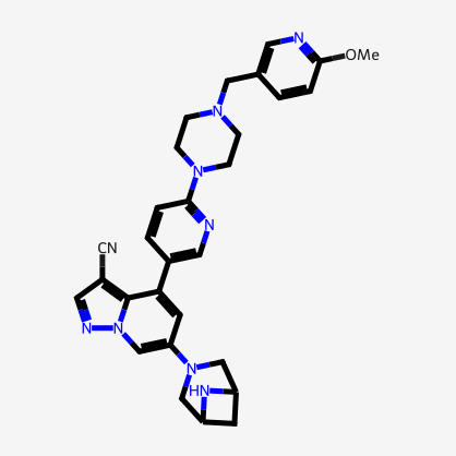 COc1ccc(CN2CCN(c3ccc(-c4cc(N5CC6CC(C5)N6)cn5ncc(C#N)c45)cn3)CC2)cn1